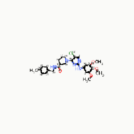 COc1cc(Nc2ncc(Cl)c(N3CCC[C@H](C(=O)NCc4ccc(C)cc4)C3)n2)cc(OC)c1OC